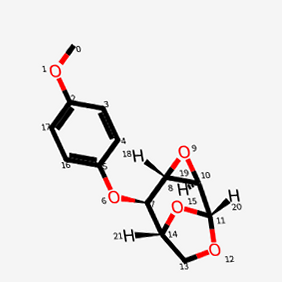 COc1ccc(O[C@H]2[C@@H]3O[C@H]3[C@@H]3OC[C@H]2O3)cc1